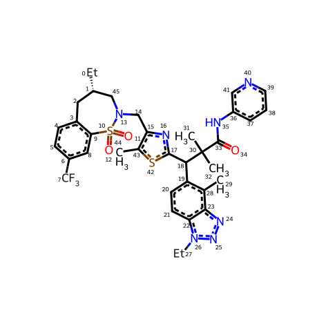 CC[C@H]1Cc2ccc(C(F)(F)F)cc2S(=O)(=O)N(Cc2nc(C(c3ccc4c(nnn4CC)c3C)C(C)(C)C(=O)Nc3cccnc3)sc2C)C1